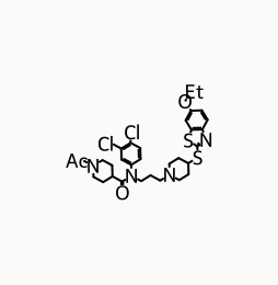 CCOc1ccc2nc(SC3CCN(CCCN(C(=O)C4CCN(C(C)=O)CC4)c4ccc(Cl)c(Cl)c4)CC3)sc2c1